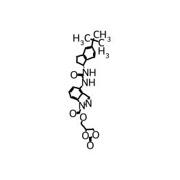 CC(C)(C)c1ccc2c(c1)CC[C@H]2NC(=O)Nc1cccc2c1cnn2C(=O)OCC1COC(=O)O1